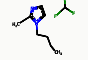 CCCCn1ccnc1C.FC(F)F